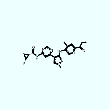 CCC(=O)c1cc(C)c(Nc2nn(C)cc2-c2cc(NC(=O)[C@H]3C[C@H]3F)ncn2)cn1